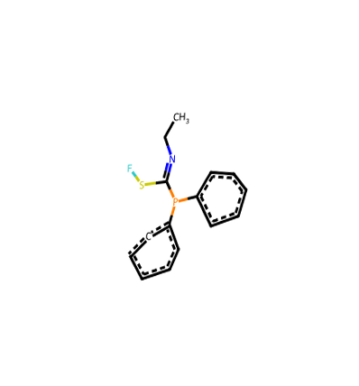 CC/N=C(\SF)P(c1ccccc1)c1ccccc1